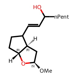 CCCCCC(O)C=CC1CC[C@H]2O[C@H](OC)C[C@H]12